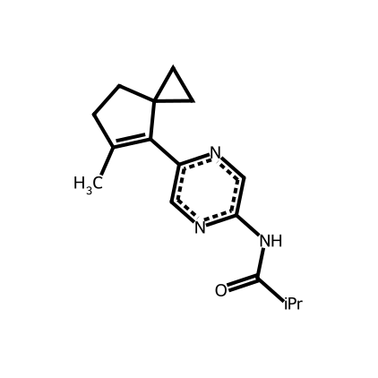 CC1=C(c2cnc(NC(=O)C(C)C)cn2)C2(CC1)CC2